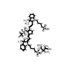 CCC(C)(OS(=O)(=O)CCCCN1/C(=C/C=C2\CCC(/C=C/C3=[N+](CCCCS(=O)(=O)O)c4ccccc4C3(C)C)=C2N(C)S(=O)(=O)C(F)(F)F)C(C)(C)c2ccccc21)C(C)=N